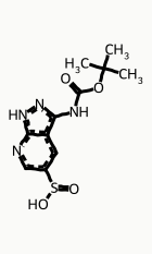 CC(C)(C)OC(=O)Nc1n[nH]c2ncc(S(=O)O)cc12